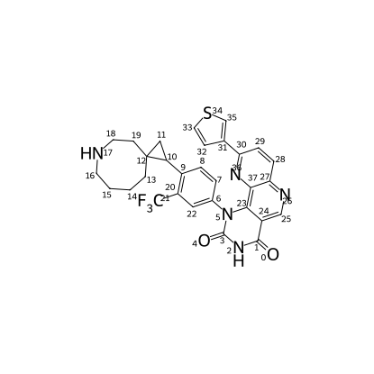 O=c1[nH]c(=O)n(-c2ccc(C3CC34CCCCNCC4)c(C(F)(F)F)c2)c2c1cnc1ccc(-c3ccsc3)nc12